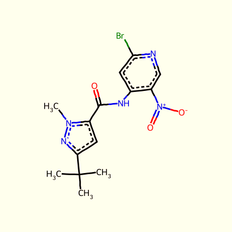 Cn1nc(C(C)(C)C)cc1C(=O)Nc1cc(Br)ncc1[N+](=O)[O-]